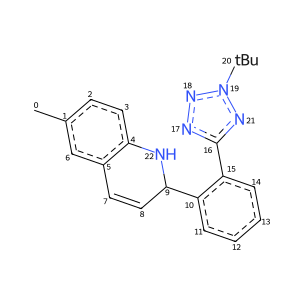 Cc1ccc2c(c1)C=CC(c1ccccc1-c1nnn(C(C)(C)C)n1)N2